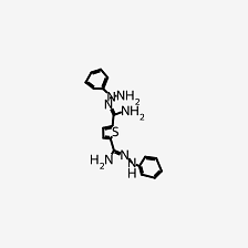 N/C(=N\Nc1ccccc1)c1ccc(/C(N)=N/N(N)c2ccccc2)s1